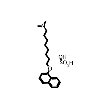 CN(C)CCCCCCCCOc1cccc2ccccc12.O=S(=O)(O)O